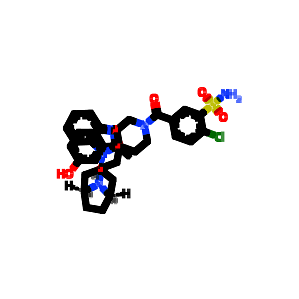 Cc1nc2ccccc2n1[C@H]1C[C@H]2CC[C@@H](C1)N2CCC1(c2cccc(O)c2)CCN(C(=O)c2ccc(Cl)c(S(N)(=O)=O)c2)CC1